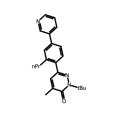 CCCc1cc(-c2cccnc2)ccc1-c1cc(C)c(=O)n(C(C)(C)C)n1